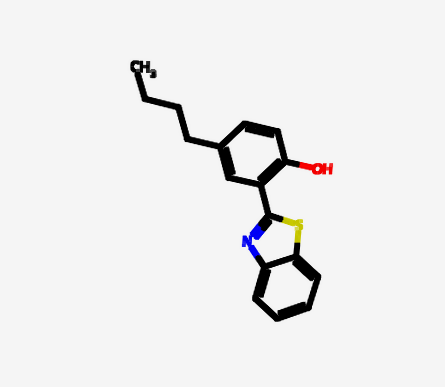 CCCCc1ccc(O)c(-c2nc3ccccc3s2)c1